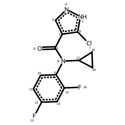 O=C(c1cn[nH]c1Cl)N(c1ccc(F)cc1F)C1CC1